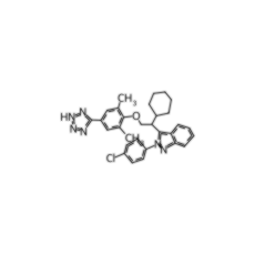 Cc1cc(-c2nn[nH]n2)cc(C)c1OCC(c1c2ccccc2nn1-c1ccc(Cl)cc1)C1CCCCC1